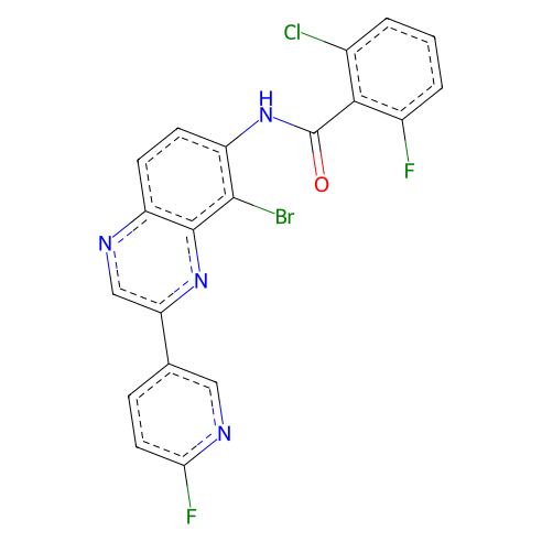 O=C(Nc1ccc2ncc(-c3ccc(F)nc3)nc2c1Br)c1c(F)cccc1Cl